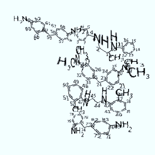 CC(CNc1ccccc1)Nc1ccccc1.CN(C)c1ccc(Cc2ccc(N(C)C)cc2)cc1.Cc1ccccc1NCCNc1ccccc1C.Nc1ccc(Cc2ccc(N)cc2)cc1.Nc1ccc(Cc2ccccc2N)cc1